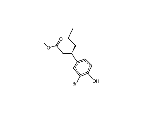 CCC[C@H](CC(=O)OC)c1ccc(O)c(Br)c1